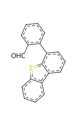 O=Cc1ccccc1-c1cccc2c1sc1ccccc12